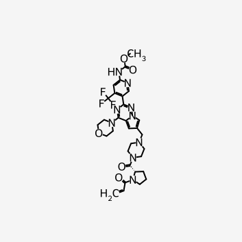 C=CC(=O)N1CCC[C@H]1C(=O)N1CCN(Cc2cc3c(N4CCOCC4)nc(-c4cnc(NC(=O)OC)cc4C(F)(F)F)nn3c2)CC1